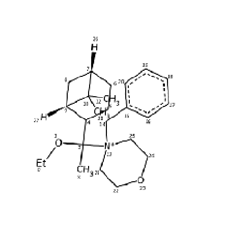 CCOC(C)(C1CC[C@H]2C[C@@H]1C2(C)C)[N+]1(Cc2ccccc2)CCOCC1